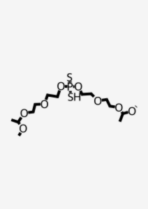 COC(C)OCCOCCOP(=S)(S)OCCOCCOC(C)OC